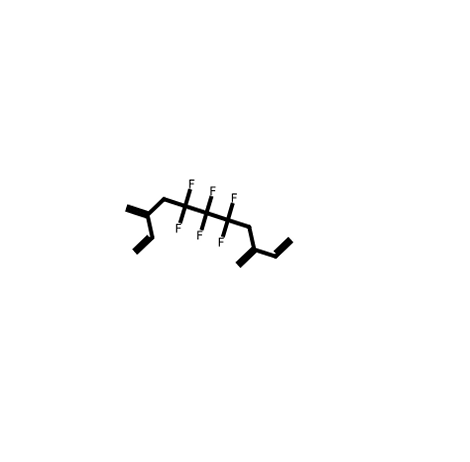 C=CC(=C)CC(F)(F)C(F)(F)C(F)(F)CC(=C)C=C